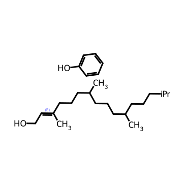 C/C(=C\CO)CCCC(C)CCCC(C)CCCC(C)C.Oc1ccccc1